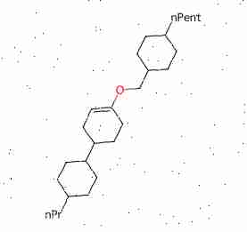 CCCCCC1CCC(COC2=CCC(C3CCC(CCC)CC3)CC2)CC1